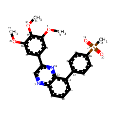 COc1cc(-c2cnc3cccc(-c4ccc(S(C)(=O)=O)cc4)c3n2)cc(OC)c1OC